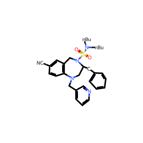 CCCCN(CCCC)S(=O)(=O)N1Cc2cc(C#N)ccc2N(Cc2cccnc2)CC1Cc1ccccc1